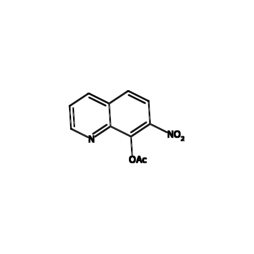 CC(=O)Oc1c([N+](=O)[O-])ccc2cccnc12